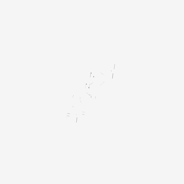 O=C(/N=c1\ccc(C(F)(F)F)cn1CC1CC1)c1cccc(C(F)(F)F)c1F